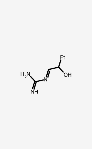 CCC(O)C=NC(=N)N